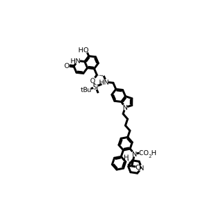 CC(C)(C)[Si](C)(C)O[C@@H](CNCc1ccc2c(ccn2CCCCc2ccc(-c3ccccc3)c(N(C(=O)O)[C@H]3CN4CCC3CC4)c2)c1)c1ccc(O)c2[nH]c(=O)ccc12